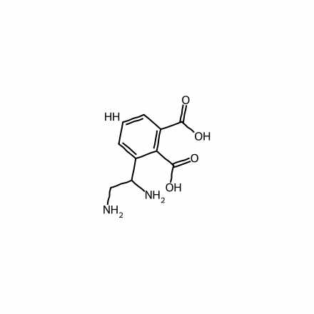 NCC(N)c1cccc(C(=O)O)c1C(=O)O.[HH]